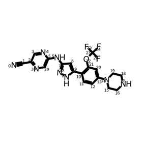 N#Cc1cnc(Nc2cc(-c3ccc(N4CCNCC4)cc3OC(F)(F)F)[nH]n2)cn1